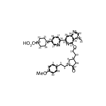 COc1ccc(CCN2CC(CCOc3nc(-c4ccc(N5CCN(C(=O)O)CC5)cn4)cc4ncn(C)c34)CC2=O)cc1